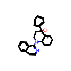 O[C@@]1(c2ccccc2)CCN(c2nccc3ccccc23)C2CCCC[C@H]21